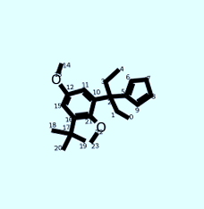 CCC(CC)(C1=CCC=C1)c1cc(OC)cc(C(C)(C)C)c1OC